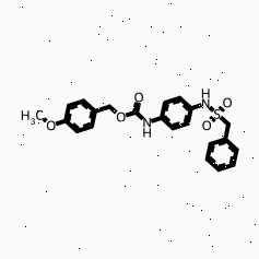 COc1ccc(COC(=O)Nc2ccc(NS(=O)(=O)Cc3ccccc3)cc2)cc1